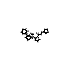 O=C(C[CH]C1CCCC1)N1CCC[C@H]1n1cnc2c(-c3ccccc3)cccc21